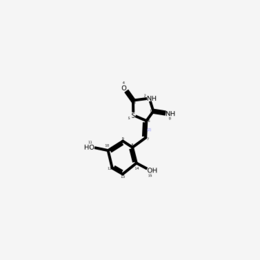 N=C1NC(=O)S/C1=C\c1cc(O)ccc1O